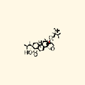 CC(C)[C@@H](C)[C@@]1(C)CC[C@]2(C)[C@H]3CC[C@@H]4[C@@]5(COC[C@]4(C)[C@@H](OC[C@@](C)(C(C)C)N(C)C)[C@H](C)C5)C3=CC[C@@]2(C)[C@@H]1C(=O)O